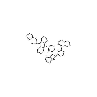 c1cc(-c2cccc3ccccc23)nc(-c2nc3ccccc3n2-c2cccc(-c3c4ccccc4c(-c4ccc5ccccc5c4)c4ccccc34)n2)c1